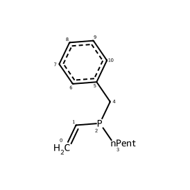 C=CP(CCCCC)Cc1ccccc1